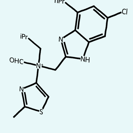 CCCc1cc(Cl)cc2[nH]c(C[N+](C=O)(CC(C)C)c3csc(C)n3)nc12